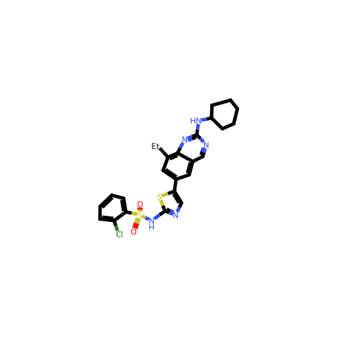 CCc1cc(-c2cnc(NS(=O)(=O)c3ccccc3Cl)s2)cc2cnc(NC3CCCCC3)nc12